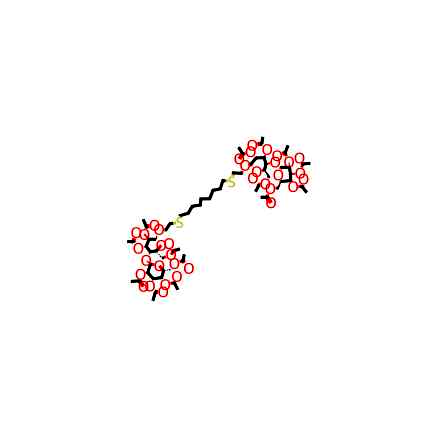 CC(=O)OC[C@H]1O[C@@H](O[C@@H]2[C@H](OC(C)=O)[C@@H](OC(C)=O)[C@H](OCCSCCCCCCCCCSCCO[C@@H]3O[C@H](COC(C)=O)[C@H](O[C@@H]4O[C@H](COC(C)=O)[C@H](OC(C)=O)[C@H](OC(C)=O)[C@H]4OC(C)=O)[C@H](OC(C)=O)[C@H]3OC(C)=O)O[C@@H]2COC(C)=O)[C@H](OC(C)=O)[C@@H](OC(C)=O)[C@H]1OC(C)=O